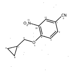 N#Cc1ccc(OCC2CC2)c([N+](=O)[O-])c1